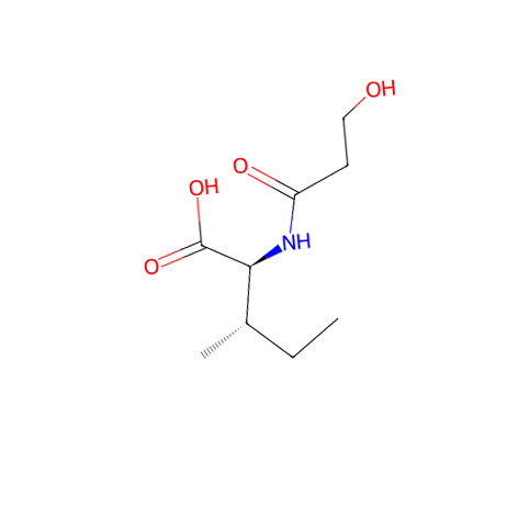 CC[C@H](C)[C@H](NC(=O)CCO)C(=O)O